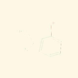 CCOC(=O)CC(C)=O.Oc1ccccc1